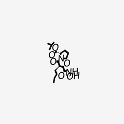 CCCC[C@H](C(=O)C(=O)NO)C(=O)N1CCC[C@H]1C(=O)OC(C)(C)C